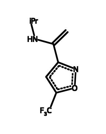 C=C(NC(C)C)c1cc(C(F)(F)F)on1